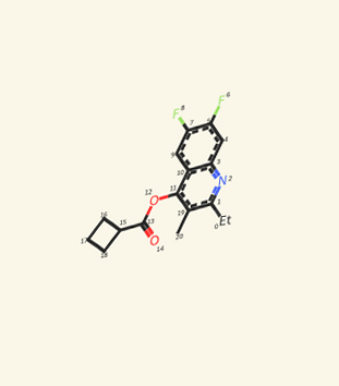 CCc1nc2cc(F)c(F)cc2c(OC(=O)C2CCC2)c1C